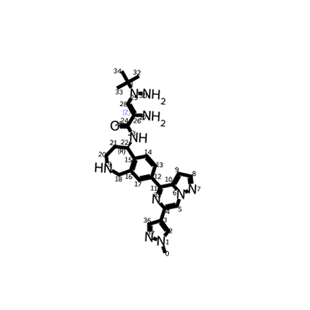 Cn1cc(-c2cn3nccc3c(-c3ccc4c(c3)CNCC[C@H]4NC(=O)/C(N)=C/N(N)C(C)(C)C)n2)cn1